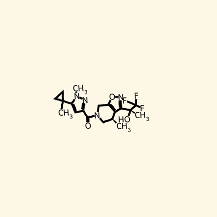 C[C@H]1CN(C(=O)c2cc(C3(C)CC3)n(C)n2)Cc2onc([C@@](C)(O)C(F)(F)F)c21